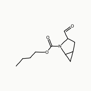 CCCCOC(=O)N1C(C=O)CC2CC21